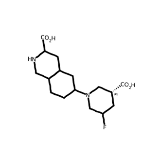 O=C(O)C1CC2CC(N3CC(F)C[C@@H](C(=O)O)C3)CCC2CN1